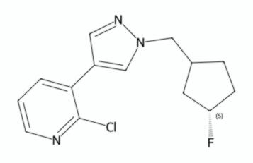 F[C@H]1CCC(Cn2cc(-c3cccnc3Cl)cn2)C1